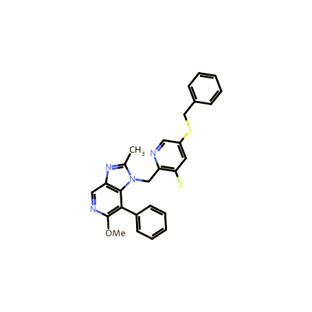 COc1ncc2nc(C)n(Cc3ncc(SCc4ccccc4)cc3F)c2c1-c1ccccc1